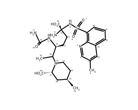 Cc1cnc2c(S(=O)(=O)N[C@@](N)(CC[C@H](NC(N)=O)C(C)N3CC[C@@H](C)C[C@@H]3C(=O)O)C(=O)O)cccc2c1